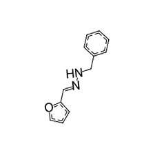 C(=N\NCc1ccccc1)/c1ccco1